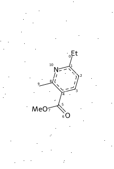 CCc1ccc(C(=O)OC)c(C)n1